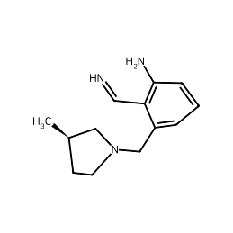 C[C@@H]1CCN(Cc2cccc(N)c2C=N)C1